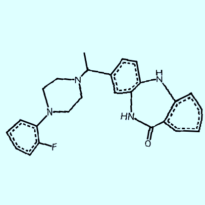 CC(c1ccc2c(c1)NC(=O)c1ccccc1N2)N1CCN(c2ccccc2F)CC1